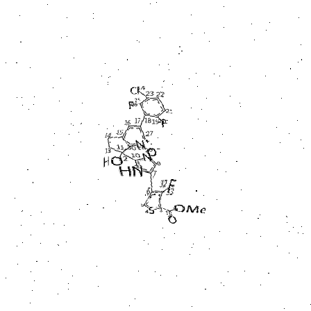 COC(=O)c1scc(-c2cnc(C3(O)CCc4cc(-c5c(F)ccc(Cl)c5F)c[n+]([O-])c43)[nH]2)c1F